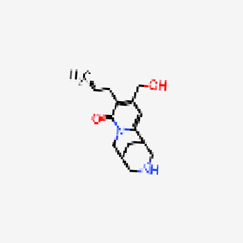 C=CCc1c(CO)cc2n(c1=O)CC1CNCC2C1